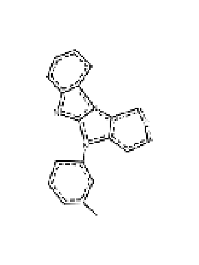 Cc1cccc(-n2c3ccccc3n3c4ccccc4nc23)c1